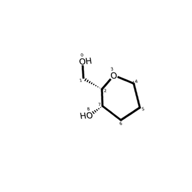 OC[C@@H]1O[CH]CC[C@@H]1O